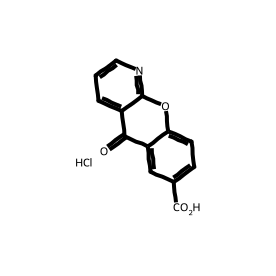 Cl.O=C(O)c1ccc2oc3ncccc3c(=O)c2c1